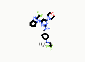 CN(CC(F)(F)F)[C@H]1CC[C@H](CNc2nc(N3CCOCC3)cc(-n3c(C(F)F)nc4ccccc43)n2)CC1